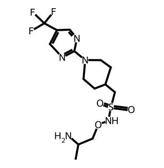 CC(N)CONS(=O)(=O)CC1CCN(c2ncc(C(F)(F)F)cn2)CC1